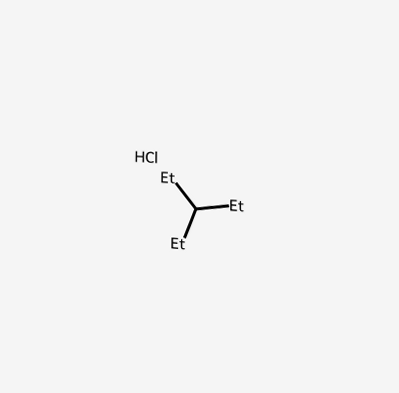 CCC(CC)CC.Cl